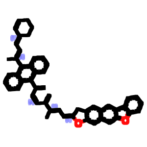 C=C(/C=C\C(=C)c1c2ccccc2c(/C(C)=C/C=C2/C=CCCC2)c2ccccc12)/C(C)=C/C=C1\Cc2cc3cc4c(cc3cc2O1)oc1ccccc14